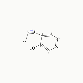 C/C=C\c1ccccc1[O]